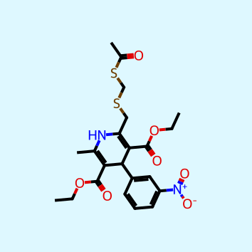 CCOC(=O)C1=C(C)NC(CSCSC(C)=O)=C(C(=O)OCC)C1c1cccc([N+](=O)[O-])c1